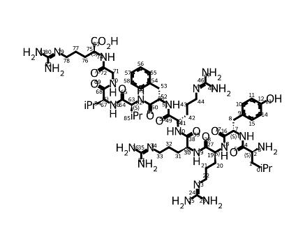 CC(C)C[C@H](N)C(=O)N[C@@H](Cc1ccc(O)cc1)C(=O)N[C@@H](CCCN=C(N)N)C(=O)N[C@@H](CCCN=C(N)N)C(=O)N[C@@H](CCCN=C(N)N)C(=O)N[C@@H](Cc1ccccc1)C(=O)N[C@H](C(=O)N[C@H](C(=O)NCC(=O)N[C@@H](CCCN=C(N)N)C(=O)O)C(C)C)C(C)C